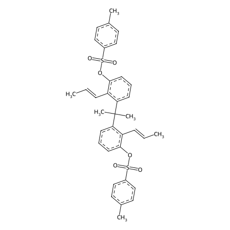 CC=Cc1c(OS(=O)(=O)c2ccc(C)cc2)cccc1C(C)(C)c1cccc(OS(=O)(=O)c2ccc(C)cc2)c1C=CC